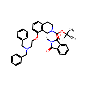 CC(C)(C)OC(=O)N1CCc2cccc(OCCN(Cc3ccccc3)Cc3ccccc3)c2[C@H]1CN1C(=O)c2ccccc2C1=O